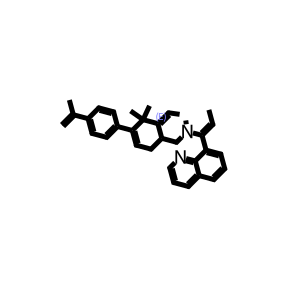 C=C(C)c1ccc(C2=CCC(CN(C)C(=CC)c3cccc4cccnc34)/C(=C\C)C2(C)C)cc1